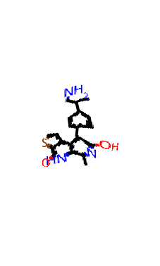 Cc1nc(O)c(-c2ccc(C(C)CN)cc2)c2c1[nH]c(=O)c1sccc12